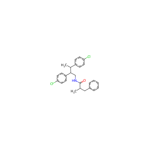 CC(Cc1ccccc1)C(=O)NCC(c1ccc(Cl)cc1)C(C)c1ccc(Cl)cc1